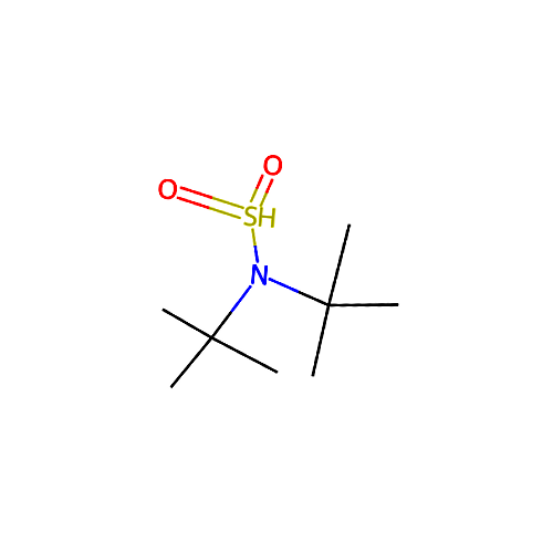 CC(C)(C)N([SH](=O)=O)C(C)(C)C